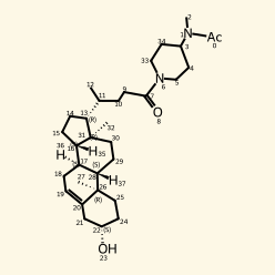 CC(=O)N(C)C1CCN(C(=O)CCC(C)[C@H]2CC[C@H]3[C@@H]4CC=C5C[C@@H](O)CC[C@]5(C)[C@H]4CC[C@]23C)CC1